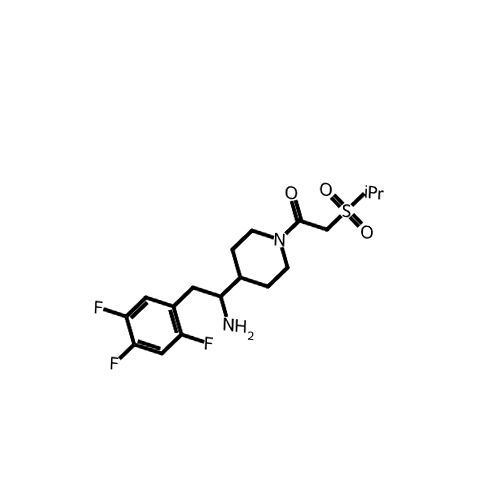 CC(C)S(=O)(=O)CC(=O)N1CCC(C(N)Cc2cc(F)c(F)cc2F)CC1